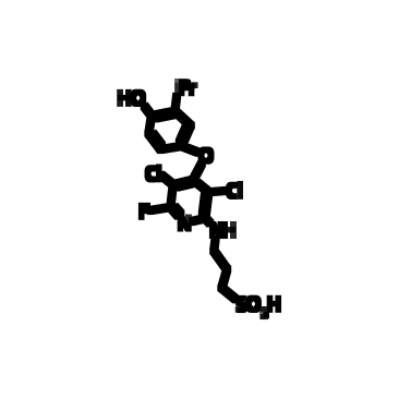 CC(C)c1cc(Oc2c(Cl)c(F)nc(NCCCS(=O)(=O)O)c2Cl)ccc1O